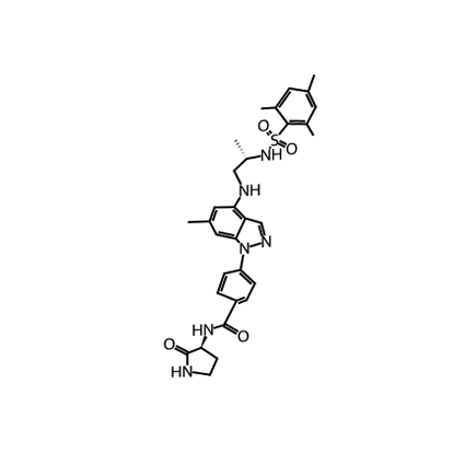 Cc1cc(C)c(S(=O)(=O)N[C@@H](C)CNc2cc(C)cc3c2cnn3-c2ccc(C(=O)N[C@H]3CCNC3=O)cc2)c(C)c1